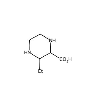 CCC1NCCNC1C(=O)O